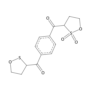 O=C(c1ccc(C(=O)C2CCOS2(=O)=O)cc1)C1CCOS1